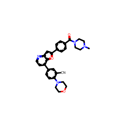 CN1CCN(C(=O)c2ccc(-c3cc4nccc(-c5ccc(N6CCOCC6)c(C#N)c5)c4o3)cc2)CC1